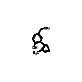 Cc1ccsc1-c1cc(CC(C)(C)C)ccc1O